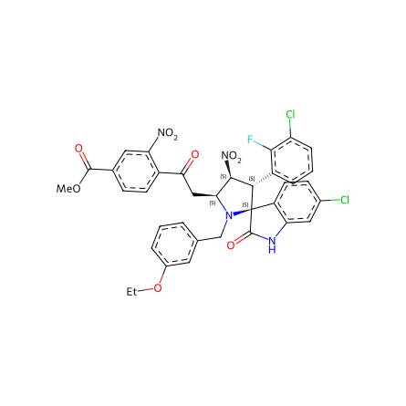 CCOc1cccc(CN2[C@@H](CC(=O)c3ccc(C(=O)OC)cc3[N+](=O)[O-])[C@@H]([N+](=O)[O-])[C@H](c3cccc(Cl)c3F)[C@]23C(=O)Nc2cc(Cl)ccc23)c1